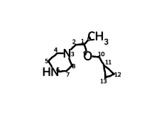 CC(CN1CCNCC1)OCC1CC1